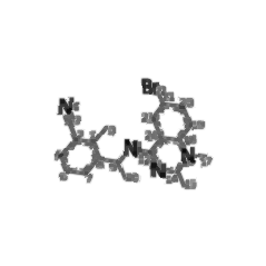 Cc1c(C#N)cccc1C(C)N=c1nc(C)n(C)c2ccc(Br)cc12